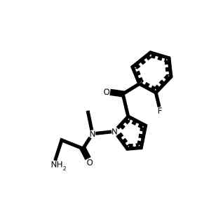 CN(C(=O)CN)n1cccc1C(=O)c1ccccc1F